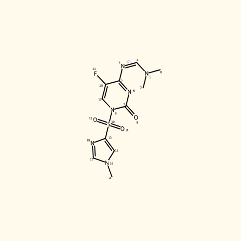 CN(C)/C=N\c1nc(=O)n(S(=O)(=O)c2cn(C)cn2)cc1F